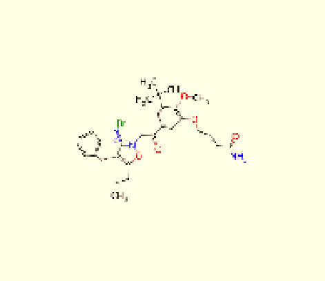 CCCc1on(CC(=O)c2cc(OCCCC(N)=O)c(OC)c(C(C)(C)C)c2)/c(=N\Br)c1Cc1ccccc1